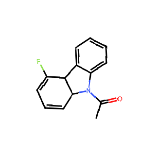 CC(=O)N1c2ccccc2C2C(F)=CC=CC21